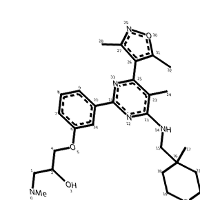 CNCC(O)COc1cccc(-c2nc(NCC3(C)CCOCC3)c(C)c(-c3c(C)noc3C)n2)c1